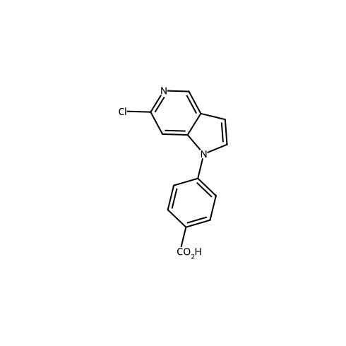 O=C(O)c1ccc(-n2ccc3cnc(Cl)cc32)cc1